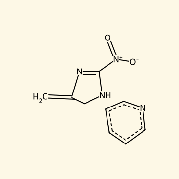 C=C1CNC([N+](=O)[O-])=N1.c1ccncc1